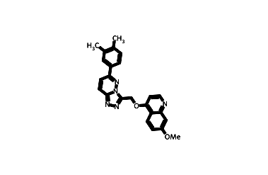 COc1ccc2c(OCc3nnc4ccc(-c5ccc(C)c(C)c5)nn34)ccnc2c1